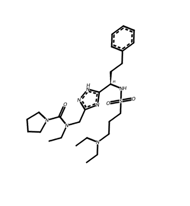 CCN(CC)CCCS(=O)(=O)N[C@H](CCc1ccccc1)c1nc(CN(CC)C(=O)N2CCCC2)n[nH]1